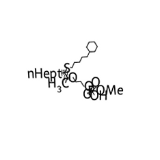 CCCCCCC[C@@H](SCCCCCC1CCCCC1)[C@H](C)OCCCOP(=O)(O)C(=O)OC